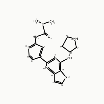 CN(C)C(=O)Nc1cc(-c2nc(N[C@@H]3CCNC3)c3sccc3n2)ccn1